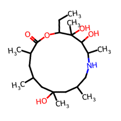 CCC1OC(=O)C(C)CC(C)CC(C)(O)CC(C)CNC(C)C(O)C1(C)O